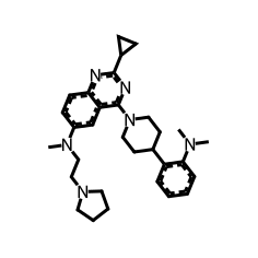 CN(C)c1ccccc1C1CCN(c2nc(C3CC3)nc3ccc(N(C)CCN4CCCC4)cc23)CC1